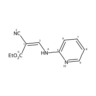 CCOC(=O)/C(C#N)=C\Nc1ccccn1